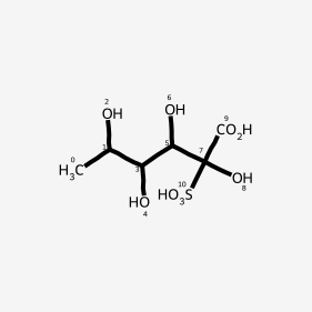 CC(O)C(O)C(O)C(O)(C(=O)O)S(=O)(=O)O